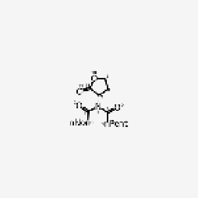 CCCCCCCCCC(=O)N(C(=O)CCCCC)[C@H]1CCOC1=O